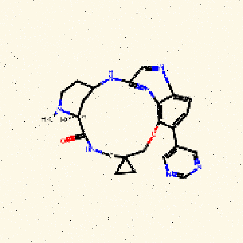 CN1CCC2C[C@H]1C(=O)NCC1(CC1)COc1c(-c3cncnc3)ccc3ncc(nc13)N2